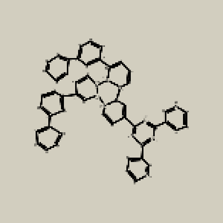 C1=CN2B3C=C(c4nc(-c5cccnc5)nc(-c5cccnc5)n4)C=CN3B3C=C(c4cccc(-c5ccccc5)c4)C=CN3B2C(c2cccc(-c3ccccc3)c2)=C1